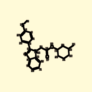 CSc1ccc(-c2nc3ccccc3n2CC(=O)OC2CCCC(C)C2)cc1